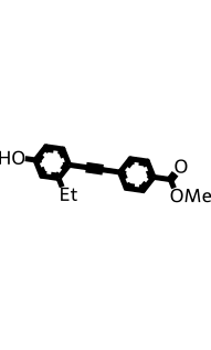 CCc1cc(O)ccc1C#Cc1ccc(C(=O)OC)cc1